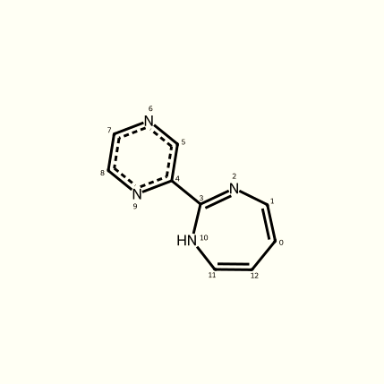 C1=CN=C(c2cnccn2)NC=C1